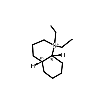 CC[N+]1(CC)CCC[C@H]2CCCC[C@H]21